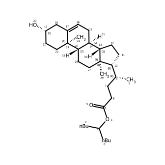 CCCCC(CCCC)OC(=O)CC[C@@H](C)[C@H]1CC[C@H]2[C@@H]3CC=C4C[C@@H](O)CC[C@]4(C)[C@H]3CC[C@]12C